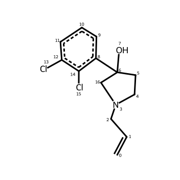 C=CCN1CCC(O)(c2cccc(Cl)c2Cl)C1